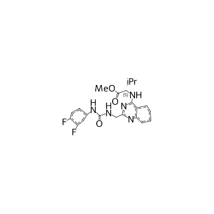 COC(=O)[C@@H](Nc1nc(CNC(=O)Nc2ccc(F)c(F)c2)nc2ccccc12)C(C)C